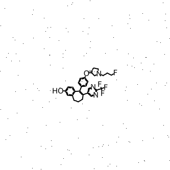 Oc1ccc2c(c1)CCCC(c1cnc(C(F)(F)F)nc1)=C2c1ccc(O[C@H]2CCN(CCCF)C2)cc1